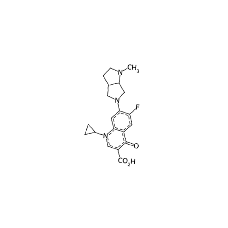 CN1CCC2CN(c3cc4c(cc3F)c(=O)c(C(=O)O)cn4C3CC3)CC21